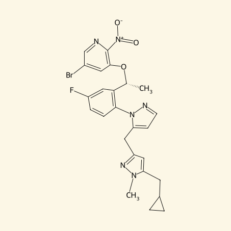 C[C@@H](Oc1cc(Br)cnc1[N+](=O)[O-])c1cc(F)ccc1-n1nccc1Cc1cc(CC2CC2)n(C)n1